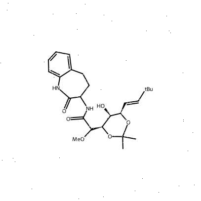 COC(C(=O)NC1CCc2ccccc2NC1=O)[C@@H]1OC(C)(C)O[C@H](C=CC(C)(C)C)[C@@H]1O